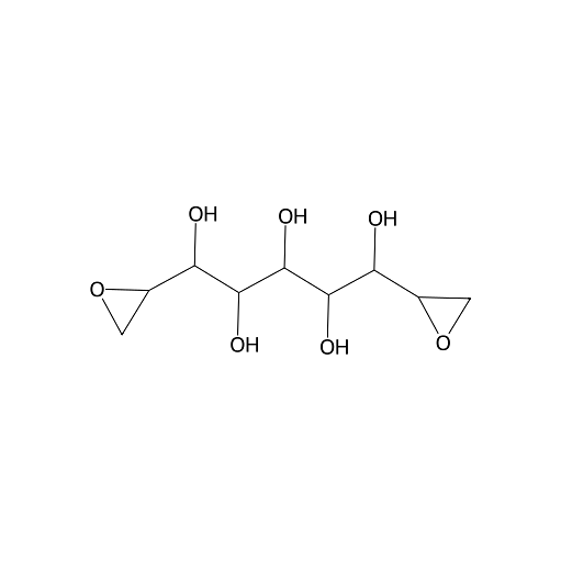 OC(C1CO1)C(O)C(O)C(O)C(O)C1CO1